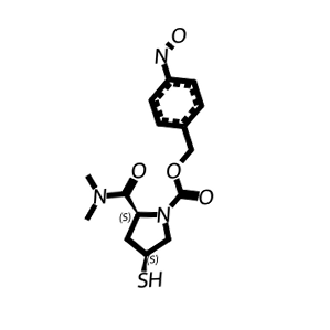 CN(C)C(=O)[C@@H]1C[C@H](S)CN1C(=O)OCc1ccc(N=O)cc1